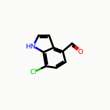 O=Cc1ccc(Cl)c2[nH]ccc12